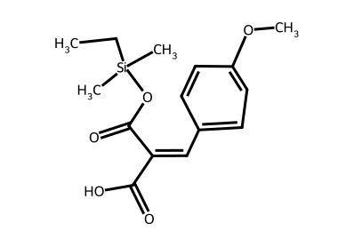 CC[Si](C)(C)OC(=O)C(=Cc1ccc(OC)cc1)C(=O)O